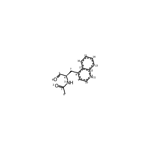 CC(=O)N[C@@H](C=O)Cc1ccnc2ccccc12